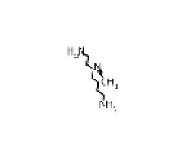 CC#N.NCCCCCCCN